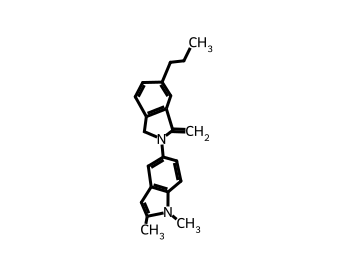 C=C1c2cc(CCC)ccc2CN1c1ccc2c(c1)cc(C)n2C